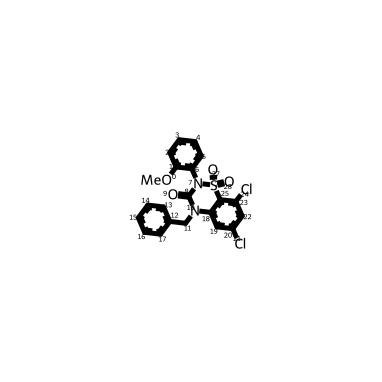 COc1ccccc1N1C(=O)N(Cc2ccccc2)c2cc(Cl)cc(Cl)c2S1(=O)=O